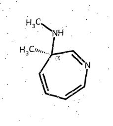 CN[C@]1(C)C=CC=CN=C1